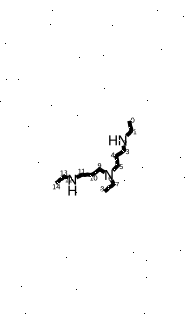 CCNCCCN(CC)CCCNCC